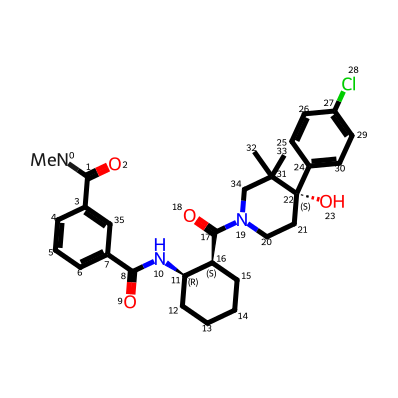 CNC(=O)c1cccc(C(=O)N[C@@H]2CCCC[C@@H]2C(=O)N2CC[C@](O)(c3ccc(Cl)cc3)C(C)(C)C2)c1